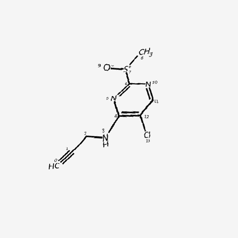 C#CCNc1nc([S+](C)[O-])ncc1Cl